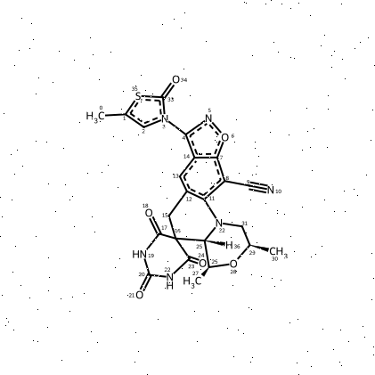 Cc1cn(-c2noc3c(C#N)c4c(cc23)CC2(C(=O)NC(=O)NC2=O)[C@H]2[C@H](C)O[C@H](C)CN42)c(=O)s1